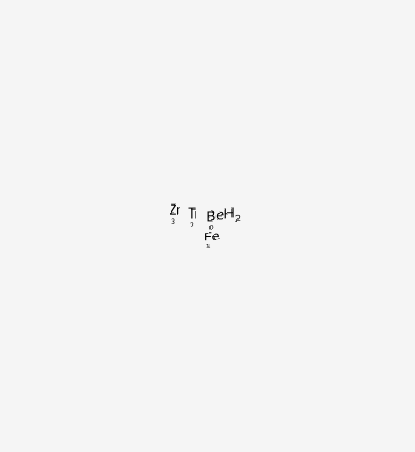 [BeH2].[Fe].[Ti].[Zr]